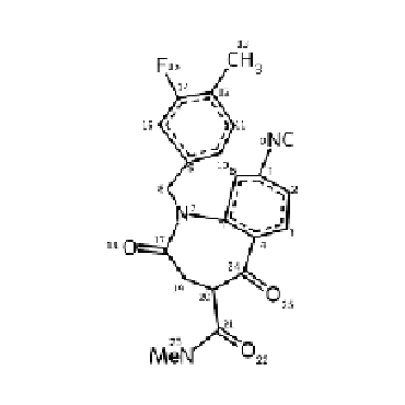 [C-]#[N+]c1ccc2c(c1)N(Cc1ccc(C)c(F)c1)C(=O)CC(C(=O)NC)C2=O